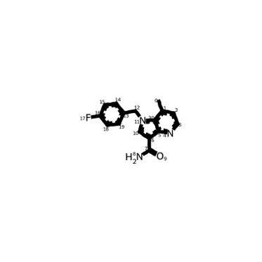 Cc1ccnc2c(C(N)=O)cn(Cc3ccc(F)cc3)c12